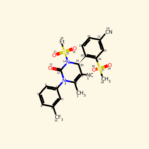 [C-]#[N+]C1=C(C)N(c2cccc(C(F)(F)F)c2)C(=O)N(S(=O)(=O)CC)[C@@H]1c1ccc(C#N)cc1S(C)(=O)=O